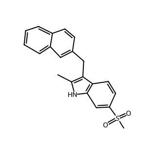 Cc1[nH]c2cc(S(C)(=O)=O)ccc2c1Cc1ccc2ccccc2c1